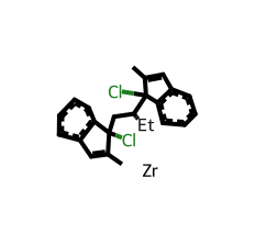 CCC(CC1(Cl)C(C)=Cc2ccccc21)C1(Cl)C(C)=Cc2ccccc21.[Zr]